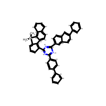 C[Si]1(C)c2cccc(-c3nc(-c4ccc(-c5ccccc5)cc4)nc(-c4ccc5cc(-c6ccccc6)ccc5c4)n3)c2-c2ccc3ccccc3c21